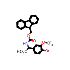 O=C(NC(C(=O)O)c1ccc(Br)c(OC(F)(F)F)c1)OCC1c2ccccc2-c2ccccc21